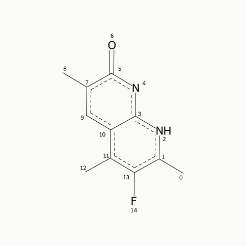 Cc1[nH]c2nc(=O)c(C)cc-2c(C)c1F